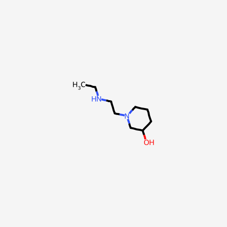 CCNCCN1CCCC(O)C1